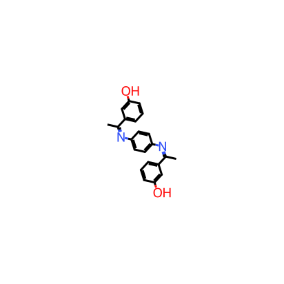 CC(=Nc1ccc(N=C(C)c2cccc(O)c2)cc1)c1cccc(O)c1